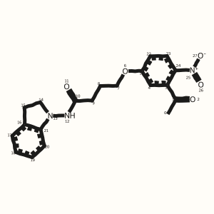 CC(=O)c1cc(OCCCC(=O)NN2CCc3ccccc32)ccc1[N+](=O)[O-]